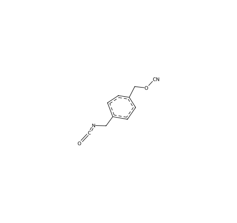 N#COCc1ccc(CN=C=O)cc1